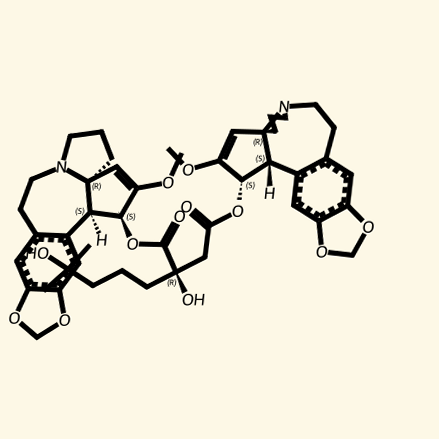 COC1=C[C@]23CCCN2CCc2cc4c(cc2[C@@H]3[C@@H]1OC(=O)C[C@](O)(CCCC(C)(C)O)C(=O)O[C@@H]1C(OC)=C[C@]23CCCN2CCc2cc5c(cc2[C@H]13)OCO5)OCO4